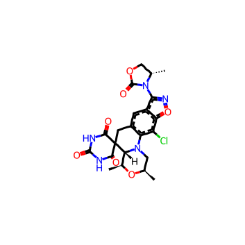 C[C@@H]1CN2c3c(cc4c(N5C(=O)OC[C@@H]5C)noc4c3Cl)CC3(C(=O)NC(=O)NC3=O)[C@H]2[C@H](C)O1